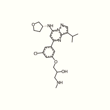 CNCC(O)COc1cc(Cl)cc(-c2cc(N[C@@H]3CCOC3)n3ncc(C(C)C)c3n2)c1